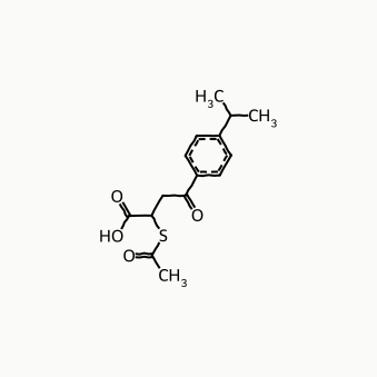 CC(=O)SC(CC(=O)c1ccc(C(C)C)cc1)C(=O)O